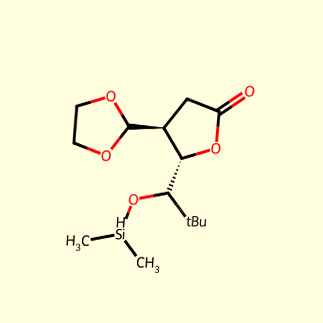 C[SiH](C)OC([C@H]1OC(=O)C[C@@H]1C1OCCO1)C(C)(C)C